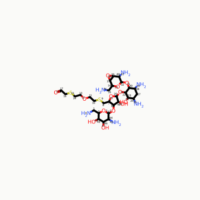 NCC1OC(OC2C(CSCCOCCSCC=O)OC(OC3C(O)C(N)CC(N)C3OC3OC(CN)C4OC4C3N)C2O)C(N)C(O)C1O